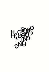 C=C1C(=O)C(C)(C(=O)OCc2ccccc2)[C@@H](CC(=O)N2CCC(CNc3ccccc3)CC2)O[C@H]1C